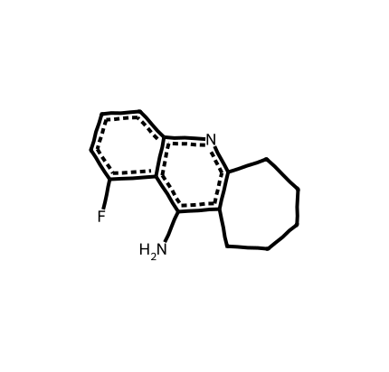 Nc1c2c(nc3cccc(F)c13)CCCCC2